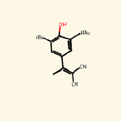 CC(=C(C#N)C#N)c1cc(C(C)(C)C)c(O)c(C(C)(C)C)c1